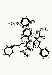 CCCC(CCc1ccccc1)(C(=O)NN)C(=O)[C@@H](c1cnccc1C)[C@H](CCCC1CCCCC1)C(=O)NO.Cc1ccc(S(=O)(=O)O)cc1